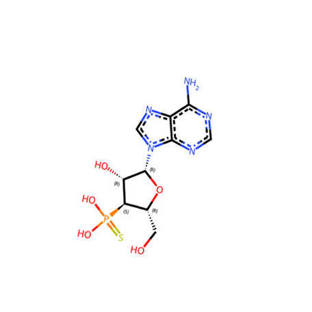 Nc1ncnc2c1ncn2[C@@H]1O[C@H](CO)[C@@H](P(O)(O)=S)[C@@H]1O